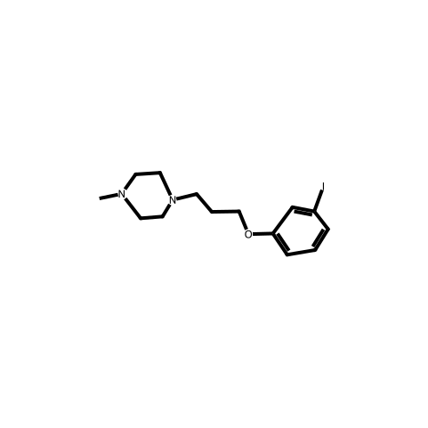 CN1CCN(CCCOc2cccc(I)c2)CC1